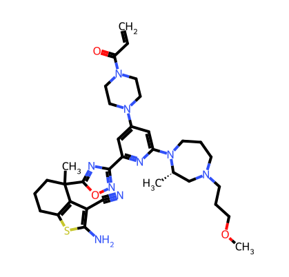 C=CC(=O)N1CCN(c2cc(-c3noc(C4(C)CCCc5sc(N)c(C#N)c54)n3)nc(N3CCCN(CCCOC)C[C@@H]3C)c2)CC1